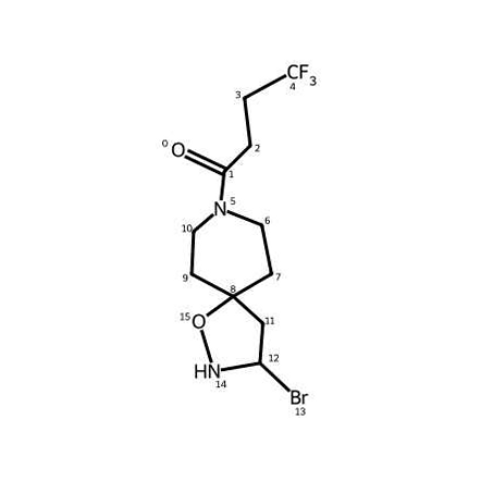 O=C(CCC(F)(F)F)N1CCC2(CC1)CC(Br)NO2